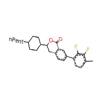 CCCCCC1CCC(C2Cc3ccc(-c4ccc(C)c(F)c4F)cc3C(=O)O2)CC1